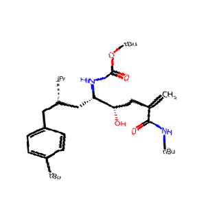 C=C(C[C@H](O)[C@H](C[C@H](Cc1ccc(C(C)(C)C)cc1)C(C)C)NC(=O)OC(C)(C)C)C(=O)NCCCC